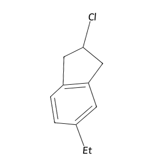 CCc1ccc2c(c1)CC(Cl)C2